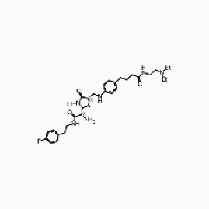 CCN(CC)CCNC(=O)CCCc1ccc(NC[C@H]2SC([C@H](N)C(=O)NCCc3ccc(F)cc3)N(CC)C2=O)cc1